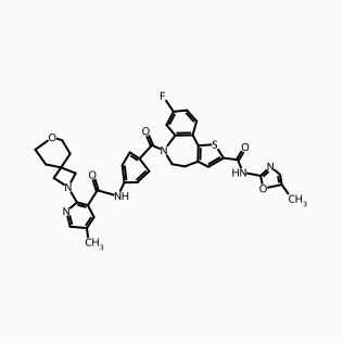 Cc1cnc(N2CC3(CCOCC3)C2)c(C(=O)Nc2ccc(C(=O)N3CCc4cc(C(=O)Nc5ncc(C)o5)sc4-c4ccc(F)cc43)cc2)c1